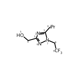 CC(C)c1nc(CO)nn1CC(F)(F)F